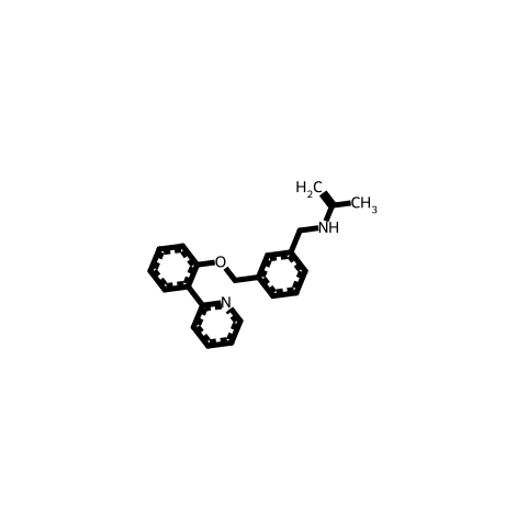 C=C(C)NCc1cccc(COc2ccccc2-c2ccccn2)c1